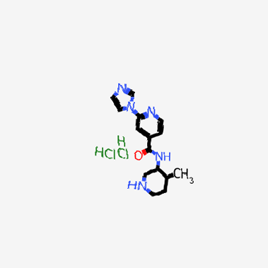 CC1CCNCC1NC(=O)c1ccnc(-n2ccnc2)c1.Cl.Cl